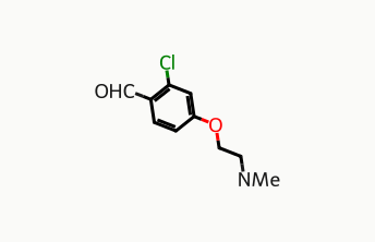 CNCCOc1ccc(C=O)c(Cl)c1